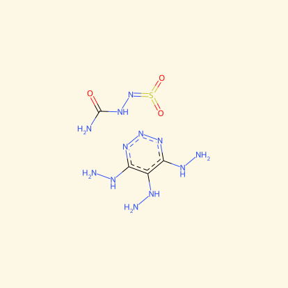 NC(=O)NN=S(=O)=O.NNc1nnnc(NN)c1NN